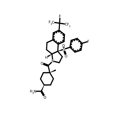 C[C@]1(C(=O)N2CC[C@@]3(S(=O)(=O)c4ccc(F)cc4)c4ccc(C(F)(C(F)(F)F)C(F)(F)F)cc4CC[C@@H]23)CC[C@H](C(N)=O)CC1